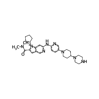 CN(C)C(=O)c1cc2cnc(Nc3ccc(N4CCC(N5CCNCC5)CC4)cn3)cc2n1C1CCCC1